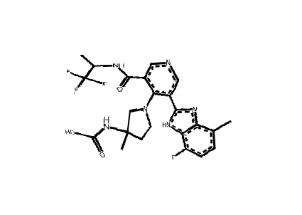 Cc1ccc(F)c2[nH]c(-c3cncc(C(=O)NC(C)C(F)(F)F)c3N3CCC(C)(NC(=O)O)C3)nc12